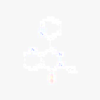 Cn1nc(-c2ccccn2)c2ncccc2c1=O